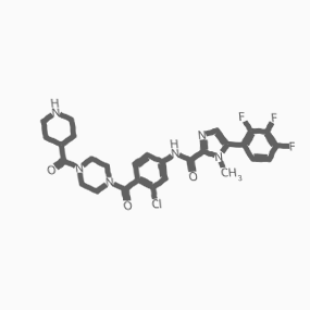 Cn1c(-c2ccc(F)c(F)c2F)cnc1C(=O)Nc1ccc(C(=O)N2CCN(C(=O)C3CCNCC3)CC2)c(Cl)c1